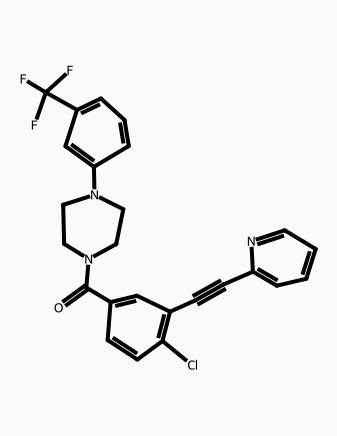 O=C(c1ccc(Cl)c(C#Cc2ccccn2)c1)N1CCN(c2cccc(C(F)(F)F)c2)CC1